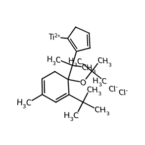 CC1=CCC(OC(C)(C)C)(C(C)(C)C2=[C]([Ti+2])CC=C2)C(C(C)(C)C)=C1.[Cl-].[Cl-]